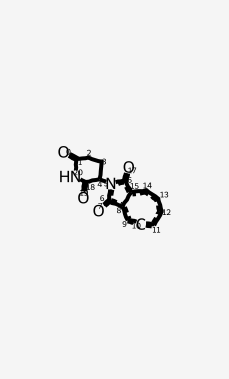 O=C1CCC(n2c(=O)c3ccccccc-3c2=O)C(=O)N1